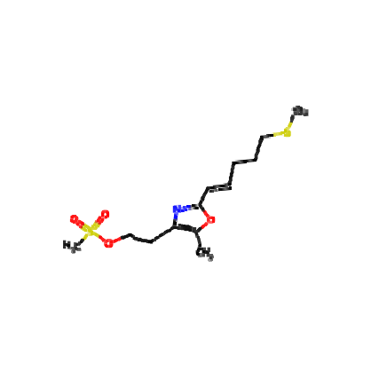 Cc1oc(C=CCCCSC(C)(C)C)nc1CCOS(C)(=O)=O